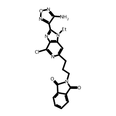 CCn1c(-c2nonc2N)nc2c(Cl)nc(CCCN3C(=O)c4ccccc4C3=O)cc21